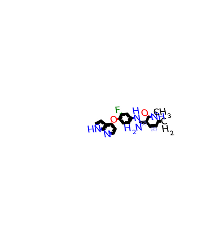 C=C/C=C\C(C(=O)NC)=C(/N)Nc1ccc(Oc2ccnc3[nH]ccc23)c(F)c1